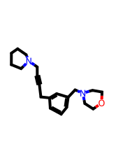 C(#CCN1CCCCC1)Cc1cccc(CN2CCOCC2)c1